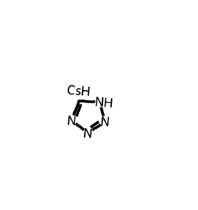 [CsH].c1nnn[nH]1